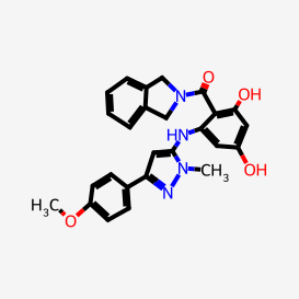 COc1ccc(-c2cc(Nc3cc(O)cc(O)c3C(=O)N3Cc4ccccc4C3)n(C)n2)cc1